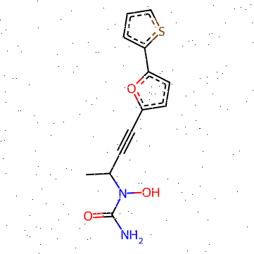 CC(C#Cc1ccc(-c2cccs2)o1)N(O)C(N)=O